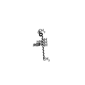 CCCCCCCCCCNC(=N)NC(=N)NCCc1ccc(OC)cc1.Cl.Cl